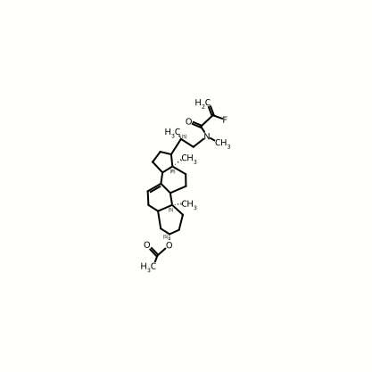 C=C(F)C(=O)N(C)C[C@@H](C)C1CCC2C3=CCC4C[C@@H](OC(C)=O)CC[C@]4(C)C3CC[C@@]21C